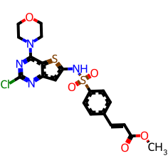 COC(=O)/C=C/c1ccc(S(=O)(=O)Nc2cc3nc(Cl)nc(N4CCOCC4)c3s2)cc1